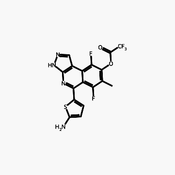 Cc1c(OC(=O)C(F)(F)F)c(F)c2c(c(-c3ccc(N)s3)nc3[nH]ncc32)c1F